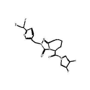 O=C(C1CCCc2nn(Cc3ccc(C(F)F)nc3)c(=O)n21)N1CC(F)C(F)C1